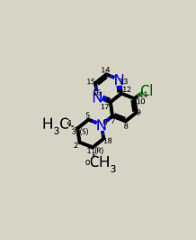 C[C@@H]1C[C@H](C)CN(c2ccc(Cl)c3nccnc23)C1